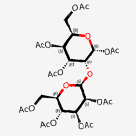 CC(=O)OC[C@H]1O[C@H](OC(C)=O)[C@H](O[C@@H]2O[C@H](COC(C)=O)[C@@H](OC(C)=O)[C@H](OC(C)=O)[C@@H]2OC(C)=O)[C@H](OC(C)=O)[C@H]1OC(C)=O